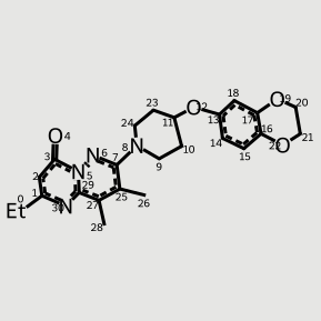 CCc1cc(=O)n2nc(N3CCC(Oc4ccc5c(c4)OCCO5)CC3)c(C)c(C)c2n1